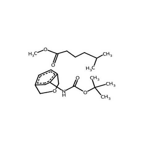 CC(C)(C)OC(=O)Nc1cc2ccc1COC2.COC(=O)CCCC(C)C